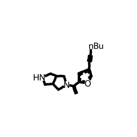 C=C(c1cc(C#CCCCC)co1)N1CC2CNCC2C1